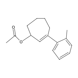 CC(=O)OC1C=C(c2ccccc2C)CCCC1